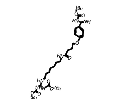 CC(C)(C)OC(=O)/N=C(/NCCCCCCCNC(=O)CCCOc1ccc(C(=N)NC(=O)OC(C)(C)C)cc1)NC(=O)OC(C)(C)C